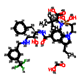 CCc1cn2c3c(cc(C(=O)N[C@@H](Cc4ccccc4)[C@H](O)CNCc4cccc(C(F)(F)F)c4)cc13)N(C(C(=O)O)C(C)(C)C)S(O)(O)CC2.O=CO